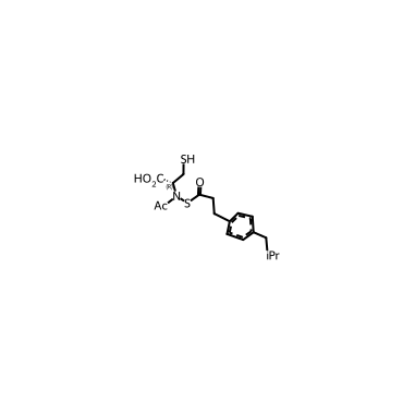 CC(=O)N(SC(=O)CCc1ccc(CC(C)C)cc1)[C@@H](CS)C(=O)O